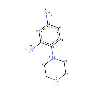 Nc1ccc(N2CCNCC2)c(N)c1